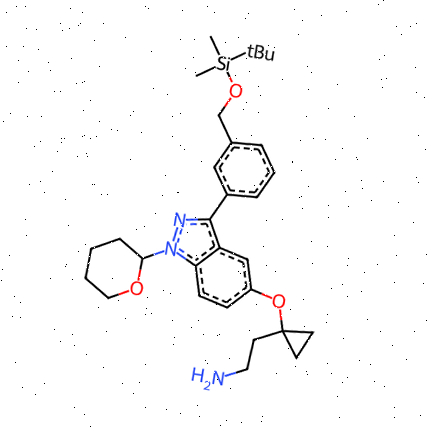 CC(C)(C)[Si](C)(C)OCc1cccc(-c2nn(C3CCCCO3)c3ccc(OC4(CCN)CC4)cc23)c1